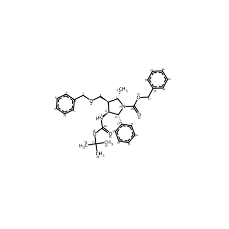 C[C@H]1[C@H](COCc2ccccc2)[C@H](NC(=O)OC(C)(C)C)[C@@H](c2ccccc2)N1C(=O)OCc1ccccc1